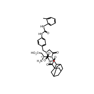 Cc1ccccc1NC(=O)Nc1ccc(CN2CC(=O)N(CC(=O)C34CC5CC(CC(C5)C3C(=O)NC(=O)[C@@H](N)CC(=O)O)C4)C2=O)cc1